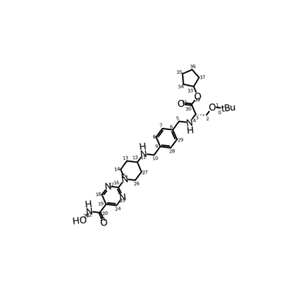 CC(C)(C)OC[C@H](NCc1ccc(CNC2CCN(c3ncc(C(=O)NO)cn3)CC2)cc1)C(=O)OC1CCCC1